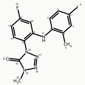 Cc1cc(I)ccc1Nc1cc(F)ccc1-n1nnn(C)c1=O